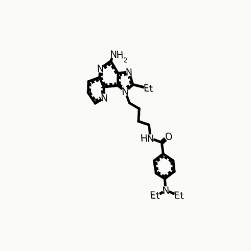 CCc1nc2c(N)nc3cccnc3c2n1CCCCNC(=O)c1ccc(N(CC)CC)cc1